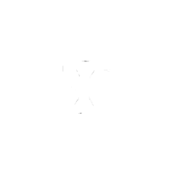 [O]c1cccc(Oc2cc(Br)ccc2F)c1F